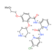 COCCOc1ccc(C(=O)Nc2cccnc2C(=O)Nc2ccc(Cl)cn2)c(OC2CCNCC2)c1